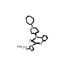 O=C(O)NC1CCN(c2nc3ccccc3n(C3CCN(C4CCCCCCC4)CC3)c2=O)C1